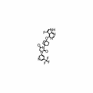 O=C1CN(c2cncc(C(F)(F)F)c2)C(=O)N1C12CCC(Oc3ncnc4[nH]cc(F)c34)(CC1)C2